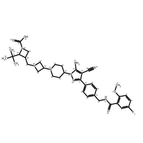 COc1ccc(F)cc1C(=O)NCc1ccc(-c2nn(C3CCN(C4CN(CC5CN(C(=O)O)C5C(C)(C)C)C4)CC3)c(N)c2C#N)cc1